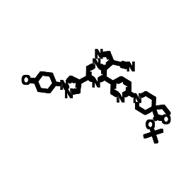 CCC1(C(=O)OC(C)(C)C)CCN(c2ccc(-c3nc(-c4cnn(C5CCC(=O)CC5)c4)cn4ncc(C#N)c34)cn2)CC1